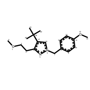 COCCc1nn(Cc2ccc(OC)cc2)cc1C(C)(C)C